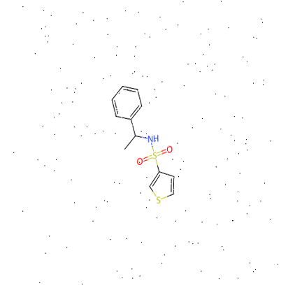 CC(NS(=O)(=O)c1ccsc1)c1ccccc1